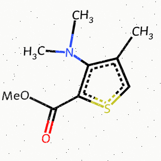 COC(=O)c1scc(C)c1N(C)C